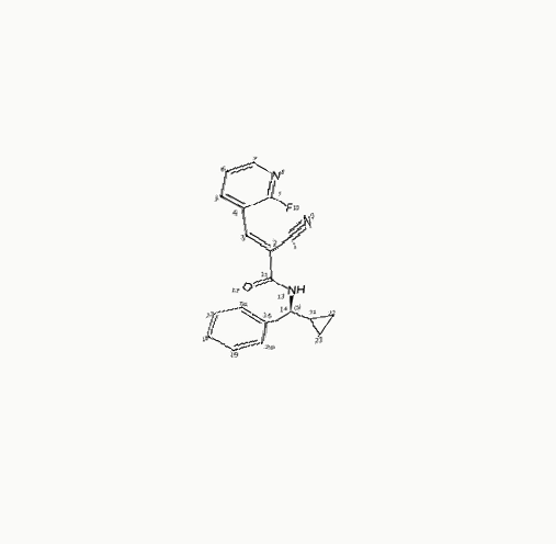 N#CC(=Cc1cccnc1F)C(=O)N[C@H](c1ccccc1)C1CC1